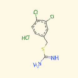 Cl.N=C(N)SCc1ccc(Cl)c(Cl)c1